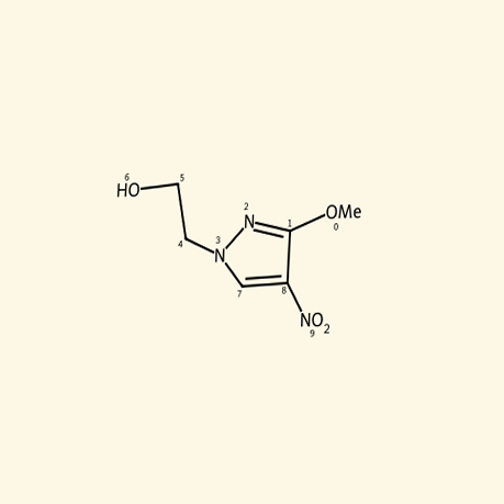 COc1nn(CCO)cc1[N+](=O)[O-]